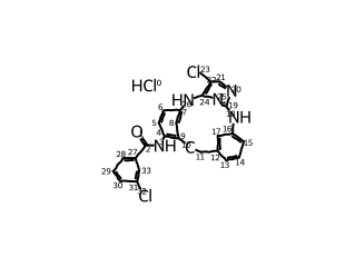 Cl.O=C(Nc1ccc2cc1CCc1cccc(c1)Nc1ncc(Cl)c(n1)N2)c1cccc(Cl)c1